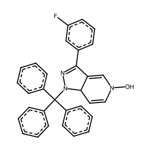 ON1C=CC2C(=C1)C(c1cccc(F)c1)=NN2C(c1ccccc1)(c1ccccc1)c1ccccc1